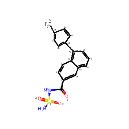 NS(=O)(=O)NC(=O)c1ccc2c(-c3ccc(C(F)(F)F)cc3)cccc2c1